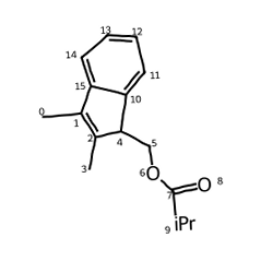 CC1=C(C)C(COC(=O)C(C)C)c2ccccc21